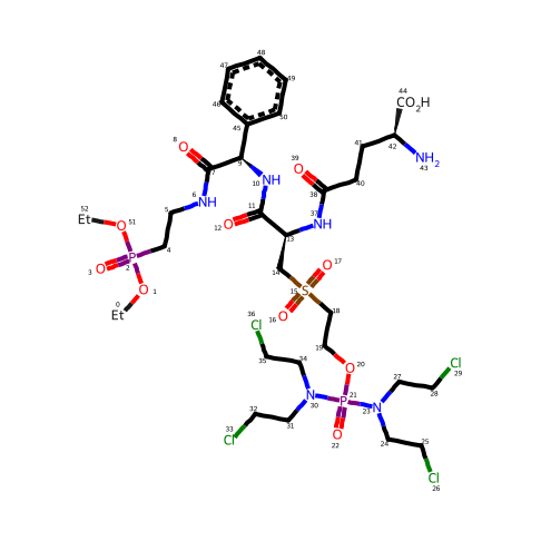 CCOP(=O)(CCNC(=O)[C@H](NC(=O)[C@H](CS(=O)(=O)CCOP(=O)(N(CCCl)CCCl)N(CCCl)CCCl)NC(=O)CC[C@H](N)C(=O)O)c1ccccc1)OCC